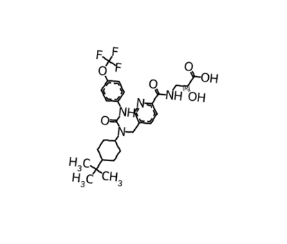 CC(C)(C)C1CCC(N(Cc2ccc(C(=O)NC[C@@H](O)C(=O)O)nc2)C(=O)Nc2ccc(OC(F)(F)F)cc2)CC1